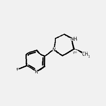 C[C@H]1CN(c2ccc(F)nc2)CCN1